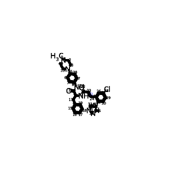 CN1CCN(c2ccc(NC(=O)C(Cc3ccccc3)NC(=O)/C=C/c3cc(Cl)ccc3-n3cnnn3)cc2)CC1